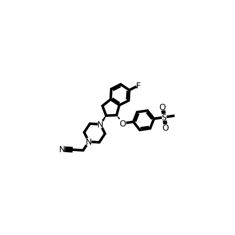 CS(=O)(=O)c1ccc(O[C@H]2c3cc(F)ccc3C[C@@H]2N2CCN(CC#N)CC2)cc1